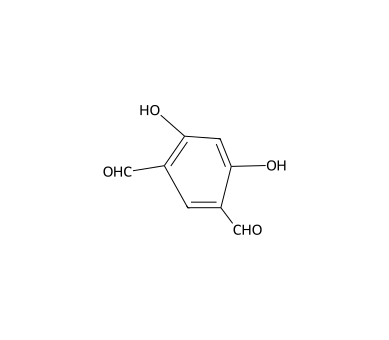 O=Cc1cc(C=O)c(O)cc1O